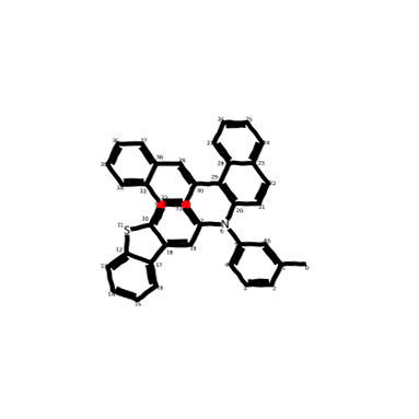 Cc1cccc(N(c2ccc3sc4ccccc4c3c2)c2ccc3ccccc3c2-c2ccc3ccccc3c2)c1